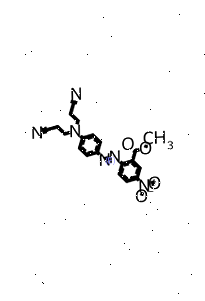 COC(=O)c1cc([N+](=O)[O-])ccc1/N=N/c1ccc(N(CCC#N)CCC#N)cc1